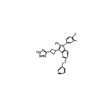 Cc1cc(-n2c(C(C)C)c(C3CC(c4nn[nH]n4)C3)c3cc(OCc4ccccc4)ccc32)ccc1F